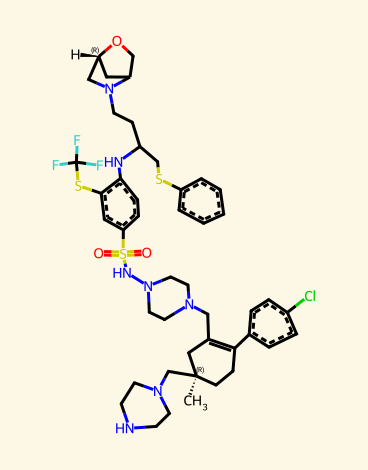 C[C@@]1(CN2CCNCC2)CCC(c2ccc(Cl)cc2)=C(CN2CCN(NS(=O)(=O)c3ccc(NC(CCN4C[C@H]5CC4CO5)CSc4ccccc4)c(SC(F)(F)F)c3)CC2)C1